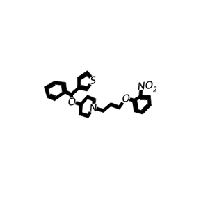 O=[N+]([O-])c1ccccc1OCCCN1CCC(OC(c2ccccc2)c2ccsc2)CC1